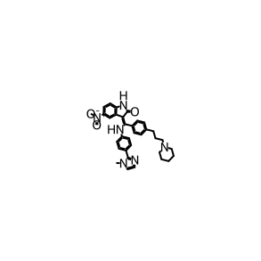 Cn1ccnc1-c1ccc(NC(=C2C(=O)Nc3ccc([N+](=O)[O-])cc32)c2ccc(CCCN3CCCCC3)cc2)cc1